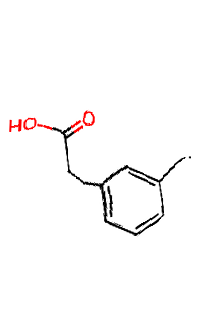 [CH2]c1cccc(CC(=O)O)c1